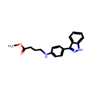 COC(=O)CCCNc1ccc(-c2n[nH]c3ccccc23)cc1